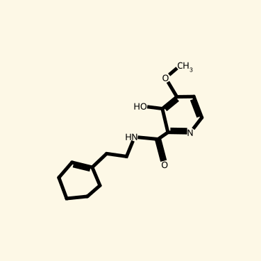 COc1ccnc(C(=O)NCCC2=CCCCC2)c1O